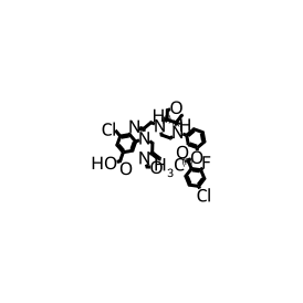 C[C@@]1(c2ccc(Cl)cc2F)Oc2cccc(N3CCN(Cc4nc5c(Cl)cc(C(=O)O)cc5n4Cc4cocn4)[C@@H]4COC[C@@H]43)c2O1